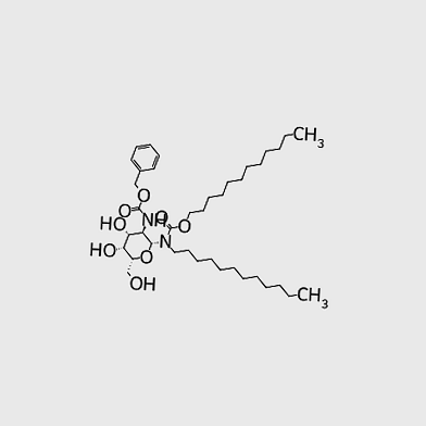 CCCCCCCCCCCCOC(=O)N(CCCCCCCCCCCC)[C@@H]1O[C@H](CO)[C@H](O)[C@H](O)[C@H]1NC(=O)OCc1ccccc1